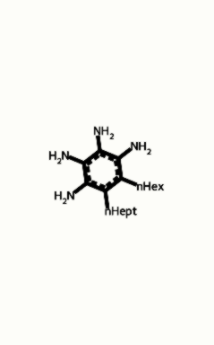 CCCCCCCc1c(N)c(N)c(N)c(N)c1CCCCCC